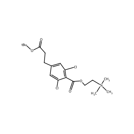 CC(C)(C)OC(=O)CCc1cc(Cl)c(C(=O)OCC[Si](C)(C)C)c(Cl)c1